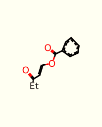 CCC(=O)C=COC(=O)c1ccccc1